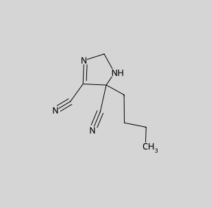 CCCCC1(C#N)NCN=C1C#N